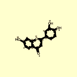 O=c1cc(-c2ccc(O)c(O)c2)oc2cc(O)ccc12